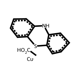 CC(=O)O.[Cu].c1ccc2c(c1)Nc1ccccc1S2